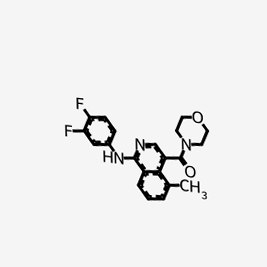 Cc1cccc2c(Nc3ccc(F)c(F)c3)ncc(C(=O)N3CCOCC3)c12